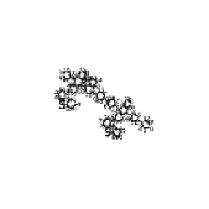 c1ccc(-c2ccc(-c3c4ccccc4c(-c4ccc(-c5ccc(-c6ccc(-c7c8ccccc8c(-c8ccccc8)c8cc(-c9cccc%10sc%11ccccc%11c9%10)ccc78)c7ccccc67)cc5)cc4)c4cc(-c5cccc6sc7ccccc7c56)ccc34)cc2)cc1